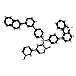 CC1C=CC=C(C2=CCC(C)C(N(c3ccc(-c4cccc(-c5ccc6ccccc6c5)c4)cc3)c3ccc(-c4cccc5sc6ccccc6c45)cc3)=C2)C1